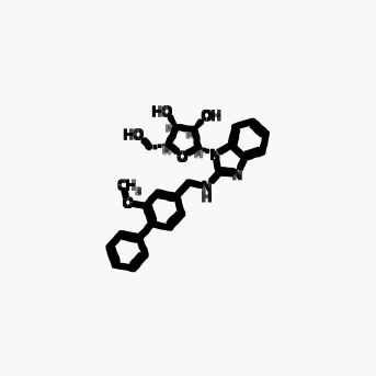 COc1cc(CNc2nc3ccccc3n2[C@@H]2O[C@H](CO)[C@@H](O)[C@H]2O)ccc1-c1ccccc1